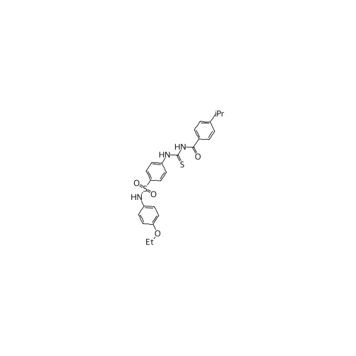 CCOc1ccc(NS(=O)(=O)c2ccc(NC(=S)NC(=O)c3ccc(C(C)C)cc3)cc2)cc1